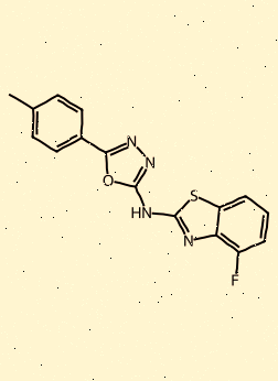 Cc1ccc(-c2nnc(Nc3nc4c(F)cccc4s3)o2)cc1